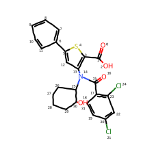 O=C(O)c1sc(-c2ccccc2)cc1N(C(=O)c1ccc(Cl)cc1Cl)C1CCCCC1O